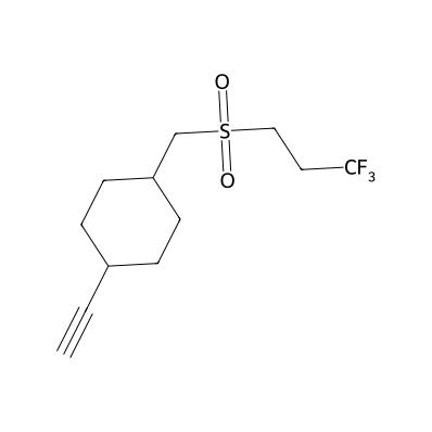 C#CC1CCC(CS(=O)(=O)CCC(F)(F)F)CC1